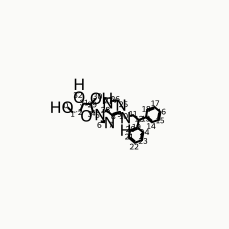 OC[C@H]1O[C@@H](n2cnc3c(NCC(c4ccccc4)c4ccccc4)ncnc32)C(O)C1O